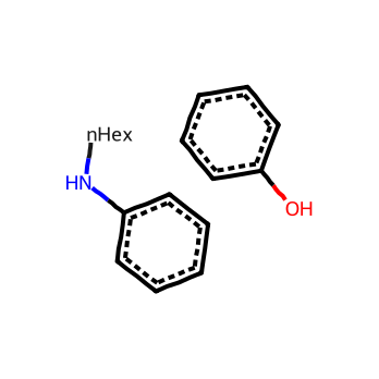 CCCCCCNc1ccccc1.Oc1ccccc1